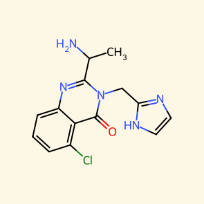 CC(N)c1nc2cccc(Cl)c2c(=O)n1Cc1ncc[nH]1